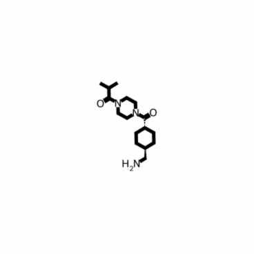 CC(C)C(=O)N1CCN(C(=O)[C@H]2CC[C@H](CN)CC2)CC1